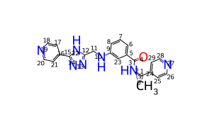 C[C@H](NC(=O)c1cccc(NCc2nnc(-c3ccncc3)[nH]2)c1)c1ccncc1